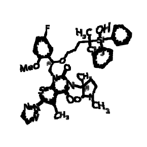 COc1ccc(F)cc1[C@H](Cn1c(=O)n([C@]2(C)CCN(C)C2=O)c(=O)c2c(C)c(-n3nccn3)sc21)OCCCC(C)(C)[Si](O)(c1ccccc1)c1ccccc1